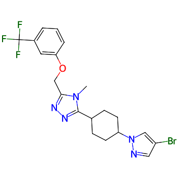 Cn1c(COc2cccc(C(F)(F)F)c2)nnc1C1CCC(n2cc(Br)cn2)CC1